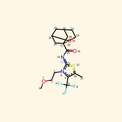 COCCn1c(C(F)(F)F)c(C)s/c1=N\C(=O)C12CC3CC(CC(C3)O1)C2